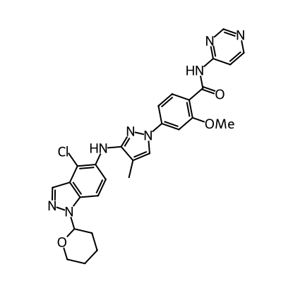 COc1cc(-n2cc(C)c(Nc3ccc4c(cnn4C4CCCCO4)c3Cl)n2)ccc1C(=O)Nc1ccncn1